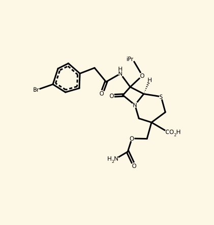 CC(C)OC1(NC(=O)Cc2ccc(Br)cc2)C(=O)N2CC(COC(N)=O)(C(=O)O)CS[C@@H]21